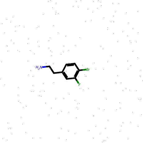 NCCc1ccc(Br)c(F)c1